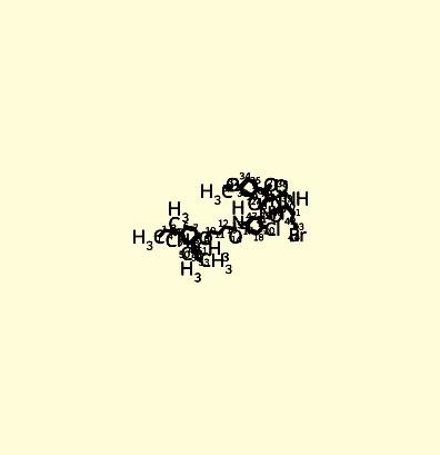 CCC(C)(C)c1ccc(OCCCC(=O)Nc2ccc(Cl)c(NC(=O)C(C(=O)c3ccc(OC)cc3)N3C(=O)NC(=CCCBr)C3=O)c2)c(C(C)(C)CC)c1